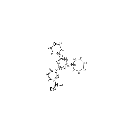 CCN(C)c1cccc(-c2nc(N3CCCCCC3)nc(N3CCOCC3)n2)n1